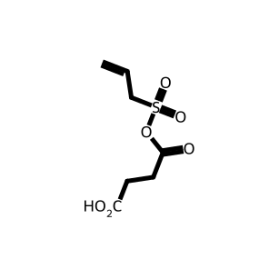 C=CCS(=O)(=O)OC(=O)CCC(=O)O